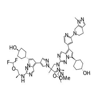 COC[C@H](C)N(CC(C)(c1nnc(C)o1)n1cc(-c2cc([C@H]3CC[C@H](O)CC3)n3nc(N[C@@H](C)COC(F)F)ncc23)cn1)c1ncc2c(-c3ccnc(N4CCc5cnn(C)c5C4)c3)cc([C@H]3CC[C@H](O)CC3)n2n1